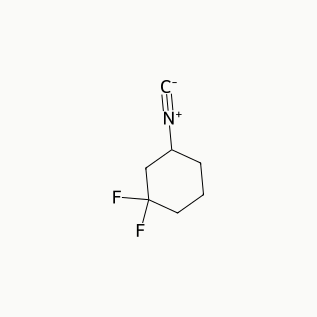 [C-]#[N+]C1CCCC(F)(F)C1